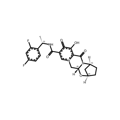 C[C@H](NC(=O)c1cn2c(c(O)c1=O)C(=O)N1[C@H]3CC[C@H](C3)O[C@@H]1C2)c1ccc(F)cc1F